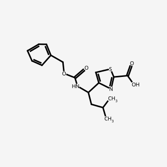 CC(C)CC(NC(=O)OCc1ccccc1)c1csc(C(=O)O)n1